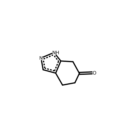 O=C1CCc2cn[nH]c2C1